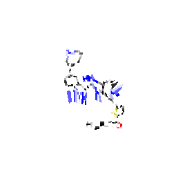 CC(=O)c1ccc(-c2nccc3[nH]c(-c4n[nH]c5ccc(-c6cccnc6)cc45)nc23)s1